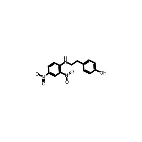 O=[N+]([O-])c1ccc(NCCc2ccc(O)cc2)c([N+](=O)[O-])c1